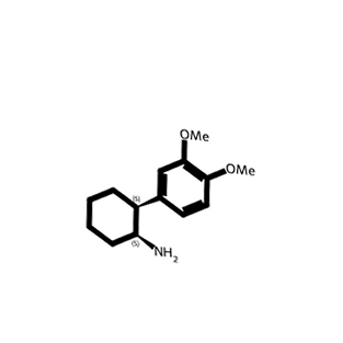 COc1ccc([C@@H]2CCCC[C@@H]2N)cc1OC